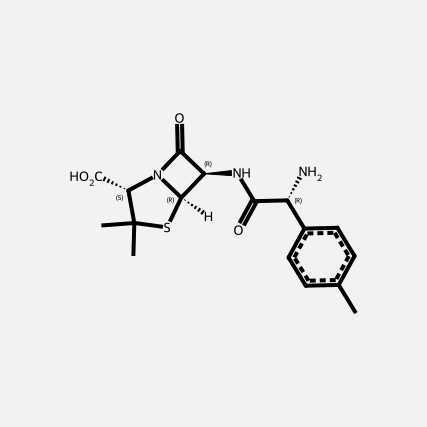 Cc1ccc([C@@H](N)C(=O)N[C@@H]2C(=O)N3[C@@H]2SC(C)(C)[C@@H]3C(=O)O)cc1